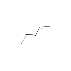 [C]=C/C=C/[CH2]